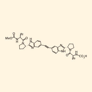 COC(=O)N[C@H](C(=O)N1CCC[C@H]1c1nc2cc(C#Cc3ccc4[nH]c([C@@H]5CCCN5C(=O)[C@@H](NC(=O)O)C(C)C)nc4c3)ccc2[nH]1)C(C)C